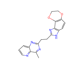 Cc1nc(CCc2nc3c4c(ccc3[nH]2)OCCO4)nc2cccnc12